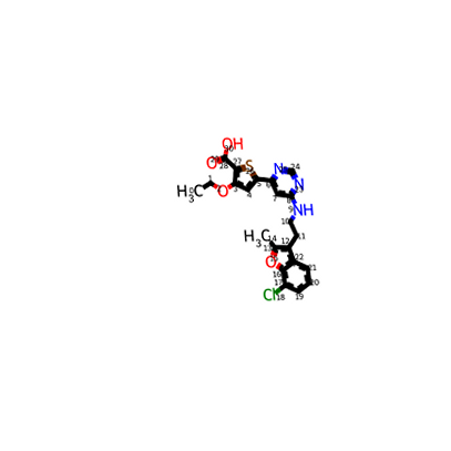 CCOc1cc(-c2cc(NCCc3c(C)oc4c(Cl)cccc34)ncn2)sc1C(=O)O